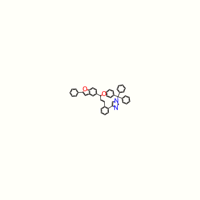 O=C(C=Cc1ccccc1-c1cn(C(c2ccccc2)(c2ccccc2)c2ccccc2)cn1)c1ccc2oc(-c3ccccc3)cc2c1